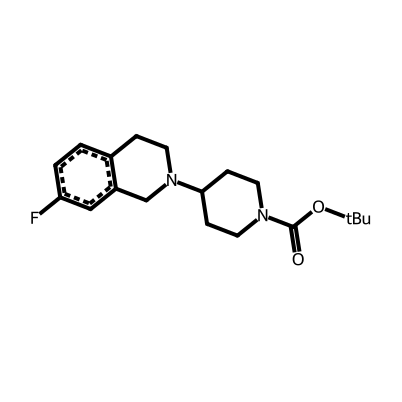 CC(C)(C)OC(=O)N1CCC(N2CCc3ccc(F)cc3C2)CC1